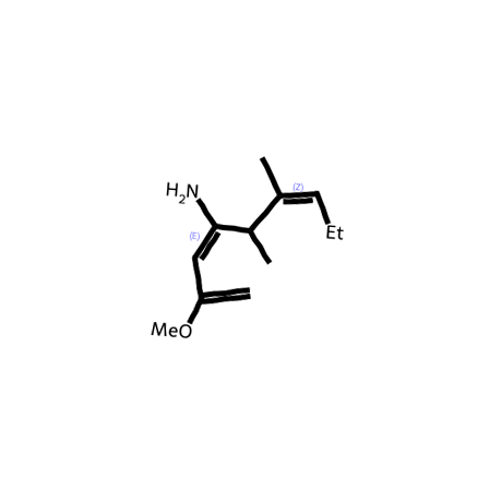 C=C(/C=C(/N)C(C)/C(C)=C\CC)OC